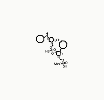 COP(=O)(S)OC[C@@H]1C[C@@H](OP(=O)(S)OC[C@H]2C[C@@H](NC3CCCCCCC3)C[C@@H]2C)C(C2CCCCCCC2)O1